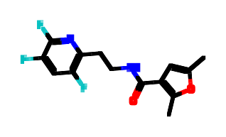 Cc1cc(C(=O)NCCc2nc(F)c(F)cc2F)c(C)o1